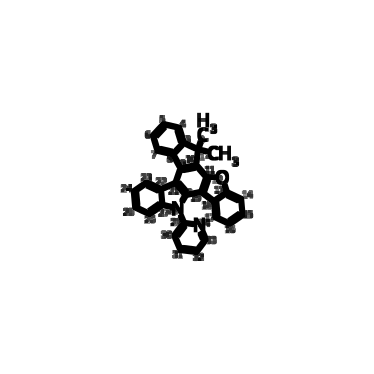 CC1(C)c2ccccc2-c2c1c1oc3ccccc3c1c1c2c2ccccc2n1-c1ccccn1